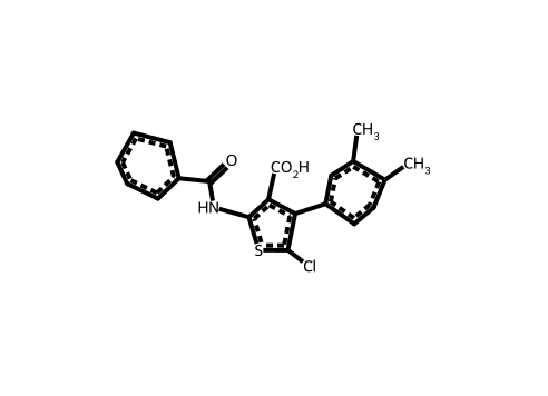 Cc1ccc(-c2c(Cl)sc(NC(=O)c3ccccc3)c2C(=O)O)cc1C